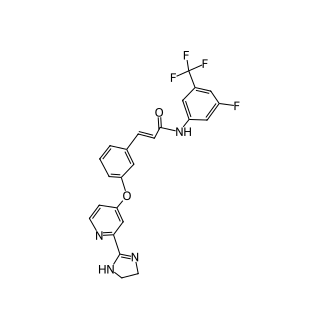 O=C(C=Cc1cccc(Oc2ccnc(C3=NCCN3)c2)c1)Nc1cc(F)cc(C(F)(F)F)c1